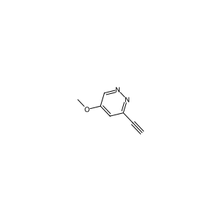 C#Cc1cc(OC)cnn1